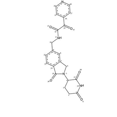 O=C1CCC(N2Cc3cc(CNC(=O)C(=O)c4ccncc4)ccc3C2=O)C(=O)N1